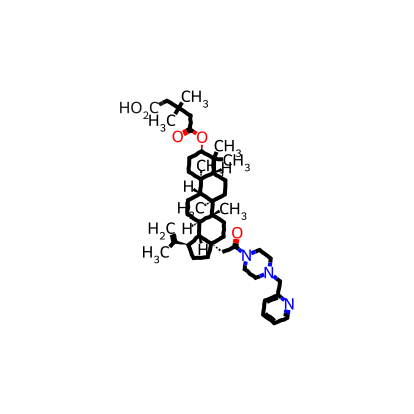 C=C(C)[C@@H]1CC[C@]2(CC(=O)N3CCN(Cc4ccccn4)CC3)CC[C@]3(C)[C@H](CC[C@@H]4[C@@]5(C)CC[C@H](OC(=O)CC(C)(C)CC(=O)O)C(C)(C)[C@@H]5CC[C@]43C)[C@@H]12